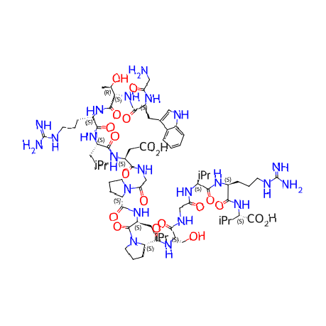 CC(C)C[C@H](NC(=O)[C@H](CCCNC(=N)N)NC(=O)[C@@H](NC(=O)[C@H](Cc1c[nH]c2ccccc12)NC(=O)CN)[C@@H](C)O)C(=O)N[C@@H](CC(=O)O)C(=O)NCC(=O)N1CCC[C@H]1C(=O)N[C@@H](CC(C)C)C(=O)N1CCC[C@H]1C(=O)N[C@@H](CO)C(=O)NCC(=O)N[C@H](C(=O)N[C@@H](CCCNC(=N)N)C(=O)N[C@H](C(=O)O)C(C)C)C(C)C